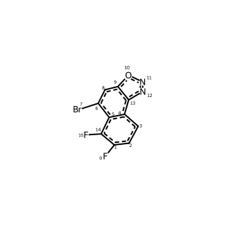 Fc1ccc2c(c(Br)cc3onnc32)c1F